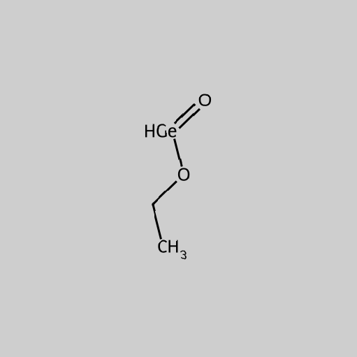 CC[O][GeH]=[O]